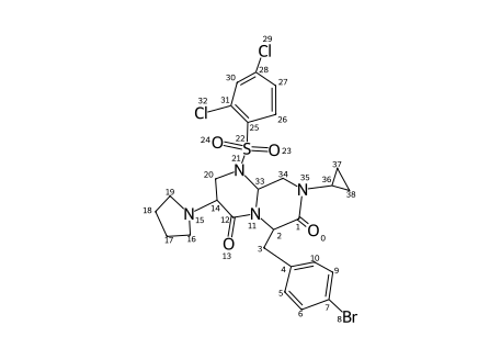 O=C1C(Cc2ccc(Br)cc2)N2C(=O)C(N3CCCC3)CN(S(=O)(=O)c3ccc(Cl)cc3Cl)C2CN1C1CC1